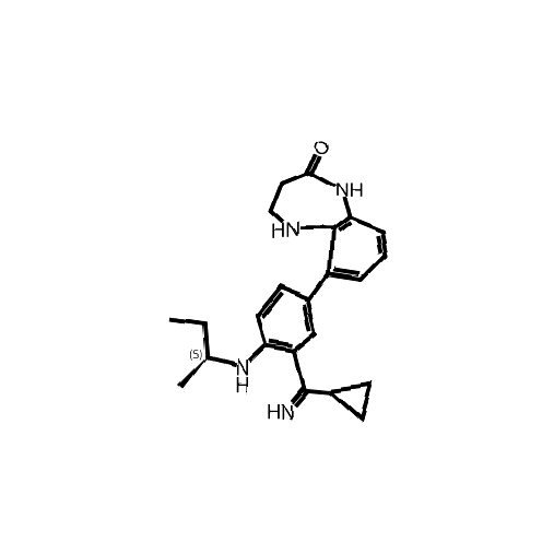 CC[C@H](C)Nc1ccc(-c2cccc3c2NCCC(=O)N3)cc1C(=N)C1CC1